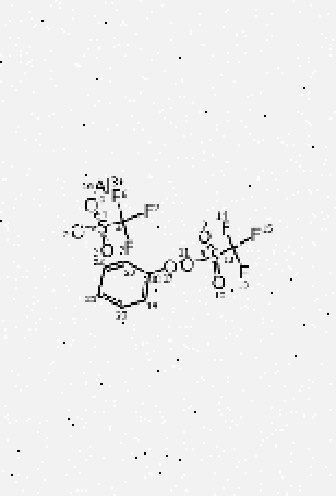 O=S(=O)([O-])C(F)(F)F.O=S(=O)([O-])C(F)(F)F.[Al+3].[O-]c1ccccc1